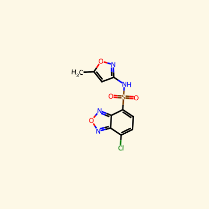 Cc1cc(NS(=O)(=O)c2ccc(Cl)c3nonc23)no1